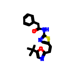 CC(C)(C)c1cnc(/C=C\c2cnc(NC(=O)Cc3ccccc3)s2)o1